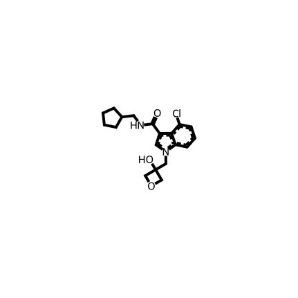 O=C(NCC1CCCC1)c1cn(CC2(O)COC2)c2cccc(Cl)c12